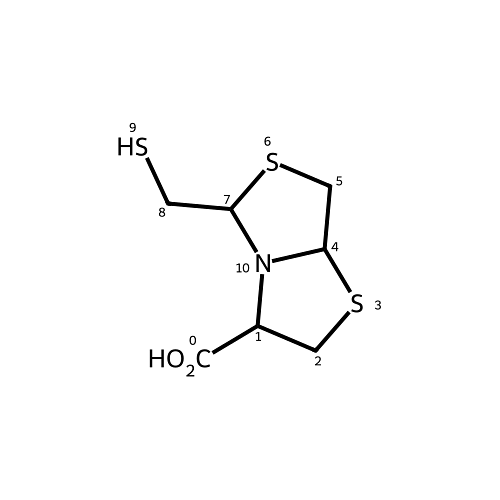 O=C(O)C1CSC2CSC(CS)N21